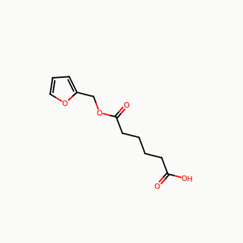 O=C(O)CCCCC(=O)OCc1ccco1